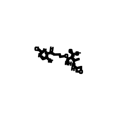 C/C(NC1COC1)=C(/C(=N)OCCCNc1nc(Cl)ncc1Br)[N+](=O)[O-]